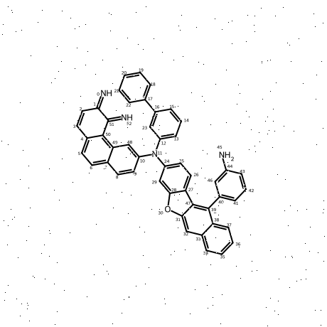 N=C1C=Cc2ccc3ccc(N(c4cccc(-c5ccccc5)c4)c4ccc5c(c4)oc4cc6ccccc6c(-c6cccc(N)c6)c45)cc3c2C1=N